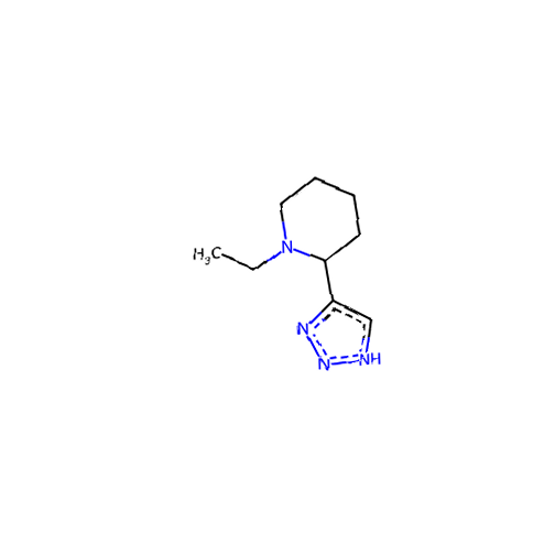 CCN1CCCCC1c1c[nH]nn1